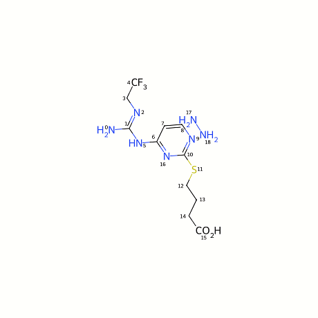 NC(=NCC(F)(F)F)Nc1ccnc(SCCCC(=O)O)n1.NN